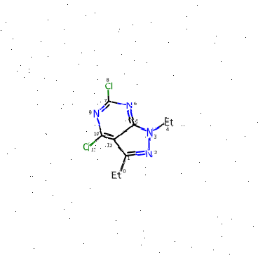 CCc1nn(CC)c2nc(Cl)nc(Cl)c12